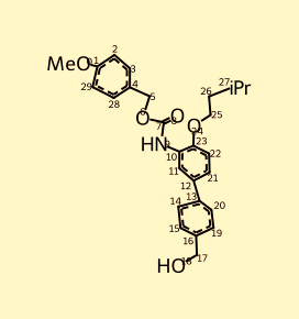 COc1ccc(COC(=O)Nc2cc(-c3ccc(CO)cc3)ccc2OCCC(C)C)cc1